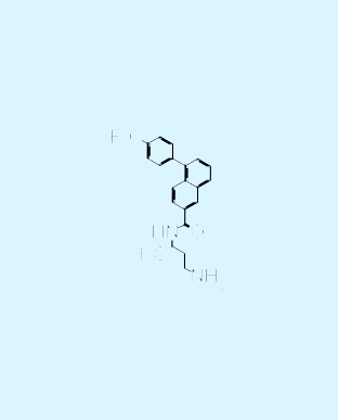 C[C@H](CCN)NC(=O)c1ccc2c(-c3ccc(C(F)(F)F)cc3)cccc2c1